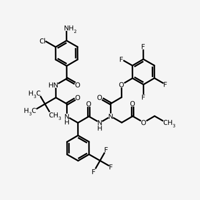 CCOC(=O)CN(NC(=O)C(NC(=O)C(NC(=O)c1ccc(N)c(Cl)c1)C(C)(C)C)c1cccc(C(F)(F)F)c1)C(=O)COc1c(F)c(F)cc(F)c1F